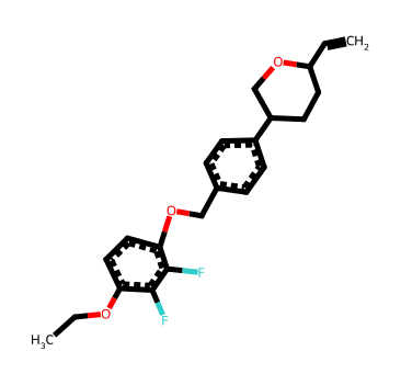 C=CC1CCC(c2ccc(COc3ccc(OCC)c(F)c3F)cc2)CO1